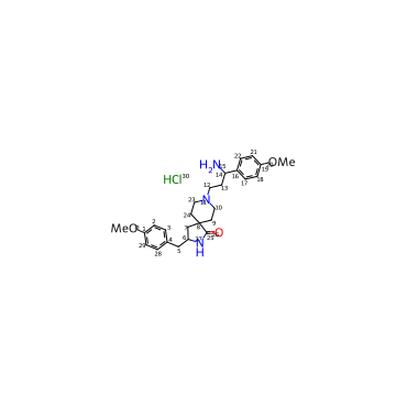 COc1ccc(CC2CC3(CCN(CCC(N)c4ccc(OC)cc4)CC3)C(=O)N2)cc1.Cl